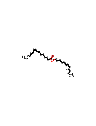 CC/C=C/C=C\CCCCCCCC(=O)OCCCCCC/C=C\C=C\CC